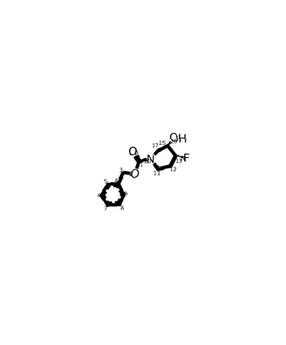 O=C(OCc1ccccc1)N1CC[C@H](F)[C@H](O)C1